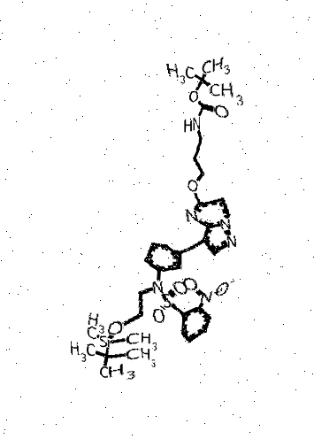 CC(C)(C)OC(=O)NCCCOc1ccn2ncc(-c3cccc(N(CCO[Si](C)(C)C(C)(C)C)S(=O)(=O)c4ccccc4[N+](=O)[O-])c3)c2n1